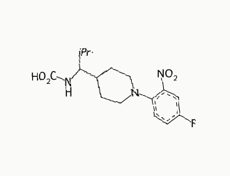 C[C](C)C(NC(=O)O)C1CCN(c2ccc(F)cc2[N+](=O)[O-])CC1